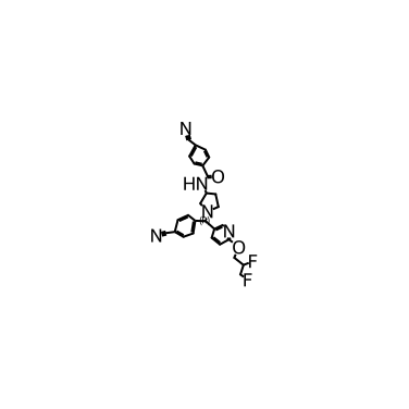 N#Cc1ccc(C(=O)NC2CCN([C@H](c3ccc(C#N)cc3)c3ccc(OCC(F)CF)nc3)C2)cc1